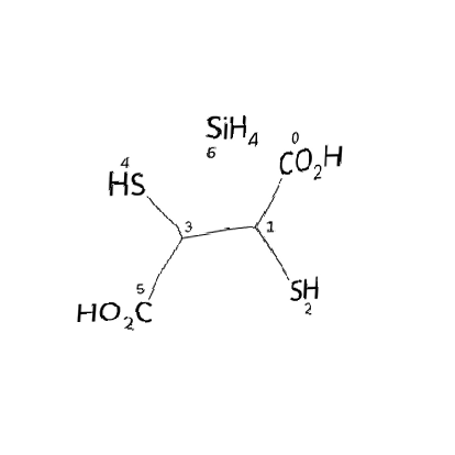 O=C(O)C(S)C(S)C(=O)O.[SiH4]